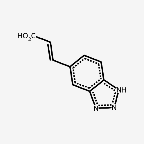 O=C(O)C=Cc1ccc2[nH]nnc2c1